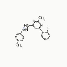 Cc1ccc(/C=N/Nc2cc(-c3ccccc3F)nc(C)n2)cc1